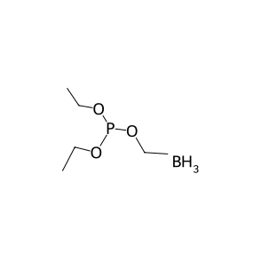 B.CCOP(OCC)OCC